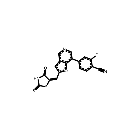 N#Cc1ccc(-c2cncc3cc(C=C4SC(=S)NC4=O)oc23)cc1F